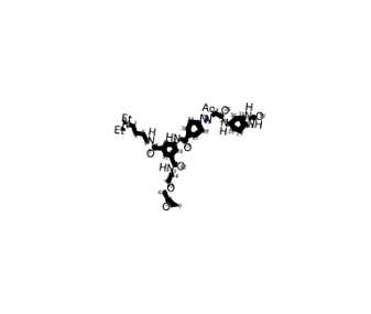 CCN(CC)CCCCNC(=O)c1cc(NC(=O)c2ccc(/N=N/C(C(C)=O)C(=O)Nc3ccc4[nH]c(=O)[nH]c4c3)cc2)cc(C(=O)NCCOCC2CO2)c1